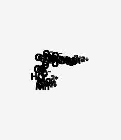 [Ca+2].[Ca+2].[Mg+2].[Mg+2].[Mn+2].[Mn+2].[O-]B([O-])[O-].[O-]B([O-])[O-].[O-]B([O-])[O-].[OH-].[OH-].[OH-]